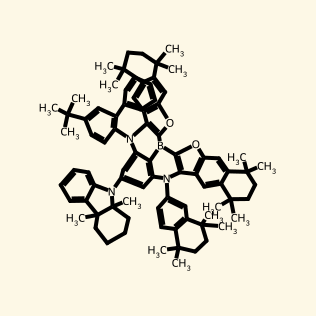 CC(C)(C)c1ccc(N2c3cc(N4c5ccccc5C5(C)CCCCC45C)cc4c3B(c3oc5cc6c(cc5c3N4c3ccc4c(c3)C(C)(C)CCC4(C)C)C(C)(C)CCC6(C)C)c3oc4cc5c(cc4c32)C(C)(C)CCC5(C)C)c(-c2ccccc2)c1